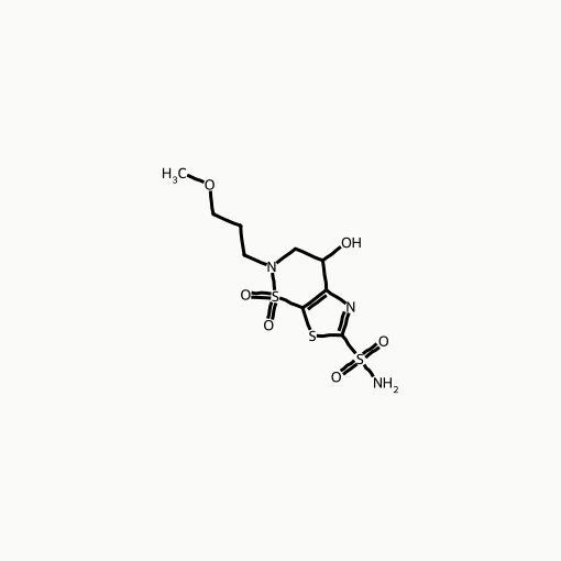 COCCCN1CC(O)c2nc(S(N)(=O)=O)sc2S1(=O)=O